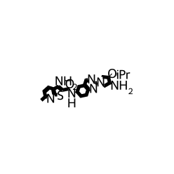 Cc1ccc2c(N)c(C(=O)N[C@H]3CCc4nc(N5C[C@H](OC(C)C)[C@@H](N)C5)ncc4C3)sc2n1